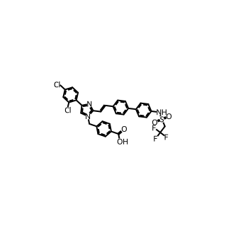 O=C(O)c1ccc(Cn2cc(-c3ccc(Cl)cc3Cl)nc2C=Cc2ccc(-c3ccc(NS(=O)(=O)CC(F)(F)F)cc3)cc2)cc1